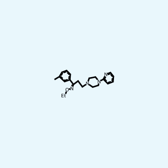 CCON=C(CCN1CCN(c2ccccn2)CC1)c1cccc(C)c1